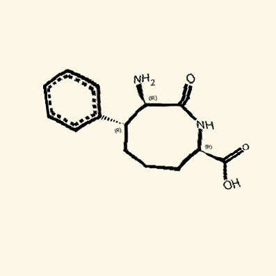 N[C@H]1C(=O)N[C@@H](C(=O)O)CCC[C@@H]1c1ccccc1